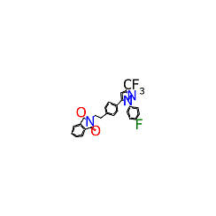 O=C1c2ccccc2C(=O)N1CCc1ccc(-c2cc(C(F)(F)F)nn2-c2ccc(F)cc2)cc1